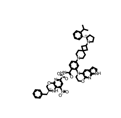 CC(C)c1ccccc1[C@@H]1CCCN1C1CC2(CCN(c3ccc(C(=O)NS(=O)(=O)c4cc([N+](=O)[O-])c5c(n4)OC[C@H](Cc4ccccc4)N5)c(N4CCOc5nc6[nH]ccc6cc54)c3)CC2)C1